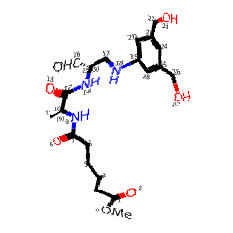 COC(=O)CCCCC(=O)N[C@@H](C)C(=O)N[C@H](C=O)CNc1cc(CO)cc(CO)c1